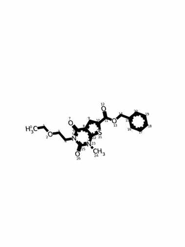 CCOCCn1c(=O)c2cc(C(=O)OCc3ccccc3)sc2n(C)c1=O